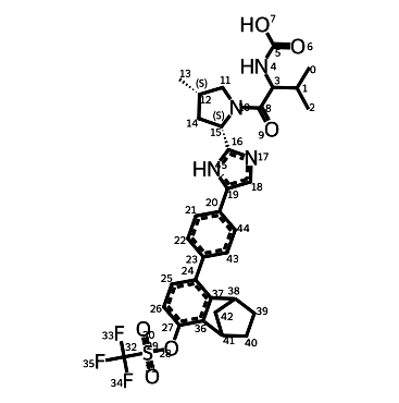 CC(C)C(NC(=O)O)C(=O)N1C[C@@H](C)C[C@H]1c1ncc(-c2ccc(-c3ccc(OS(=O)(=O)C(F)(F)F)c4c3C3CCC4C3)cc2)[nH]1